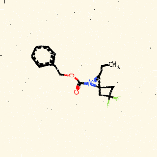 CCC1=[N+](C(=O)OCc2ccccc2)C12CC(F)(F)C2